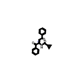 O=C(/C=C(\NC(=O)C1CC1)C(=O)c1ccccc1)c1ccccc1